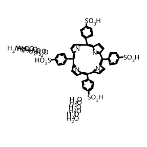 O.O.O.O.O.O.O.O.O.O.O.O.O=S(=O)(O)c1ccc(C2=C3C=CC(=N3)C(c3ccc(S(=O)(=O)O)cc3)=C3C=CC(=N3)C(c3ccc(S(=O)(=O)O)cc3)=C3C=CC(=N3)C(c3ccc(S(=O)(=O)O)cc3)=C3C=CC2=N3)cc1.[MgH2]